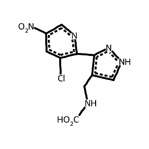 O=C(O)NCc1c[nH]nc1-c1ncc([N+](=O)[O-])cc1Cl